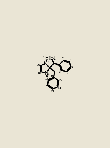 CCC(c1ccccc1)C1(Cc2ccccc2)N(C)C=CN1CC